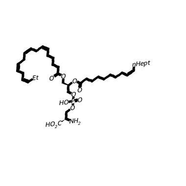 CC/C=C\C/C=C\C/C=C\C/C=C\CCCCC(=O)OC[C@H](COP(=O)(O)OC[C@H](N)C(=O)O)OC(=O)CCCCCCC/C=C\CCCCCCC